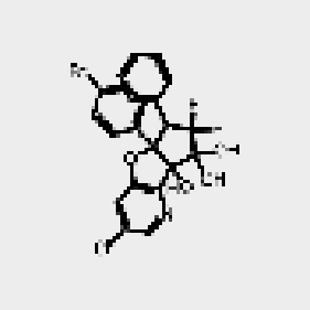 OC1(O)C(F)(F)C(c2ccccc2)C2(c3ccc(Br)cc3)Oc3cc(Cl)cnc3C21O